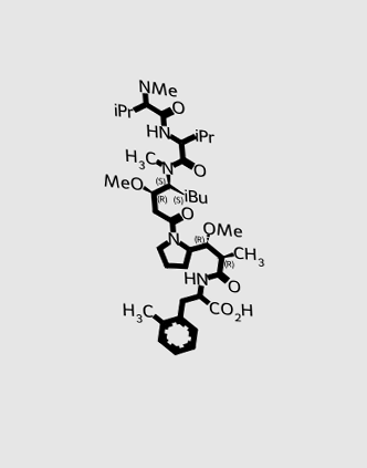 CC[C@H](C)[C@@H]([C@@H](CC(=O)N1CCCC1[C@H](OC)[C@@H](C)C(=O)NC(Cc1ccccc1C)C(=O)O)OC)N(C)C(=O)C(NC(=O)C(NC)C(C)C)C(C)C